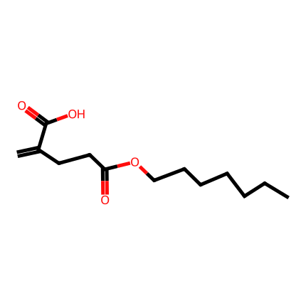 C=C(CCC(=O)OCCCCCCC)C(=O)O